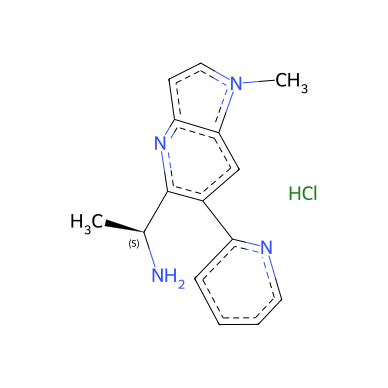 C[C@H](N)c1nc2ccn(C)c2cc1-c1ccccn1.Cl